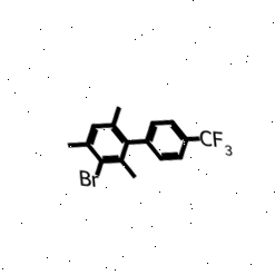 Cc1cc(C)c(-c2ccc(C(F)(F)F)cc2)c(C)c1Br